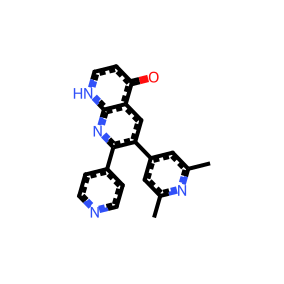 Cc1cc(-c2cc3c(=O)cc[nH]c3nc2-c2ccncc2)cc(C)n1